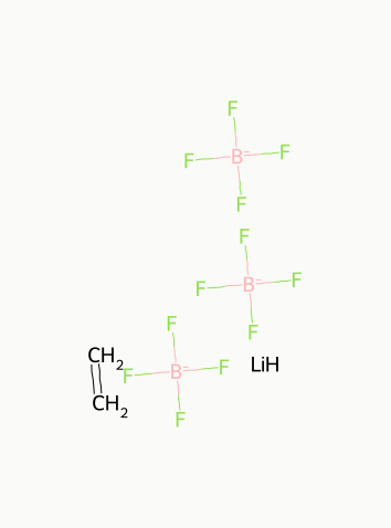 C=C.F[B-](F)(F)F.F[B-](F)(F)F.F[B-](F)(F)F.[LiH]